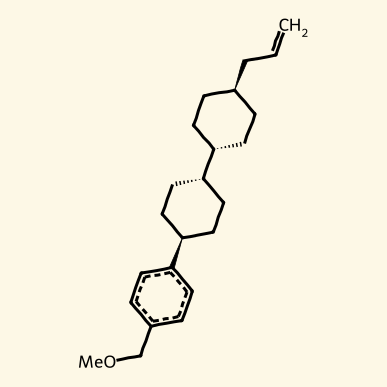 C=CC[C@H]1CC[C@H]([C@H]2CC[C@H](c3ccc(COC)cc3)CC2)CC1